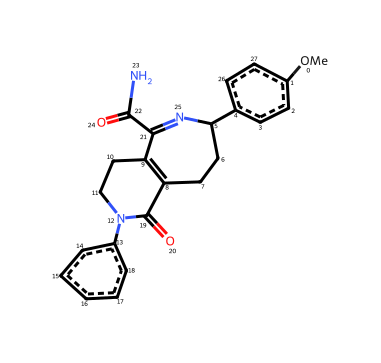 COc1ccc(C2CCC3=C(CCN(c4ccccc4)C3=O)C(C(N)=O)=N2)cc1